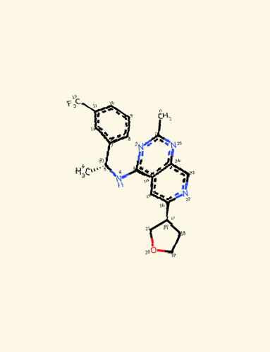 Cc1nc(N[C@H](C)c2cccc(C(F)(F)F)c2)c2cc([C@H]3CCOC3)ncc2n1